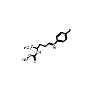 CC(C)(C)OC(=O)NC(CCC=[SH]c1ccc(F)cc1)C(=O)O